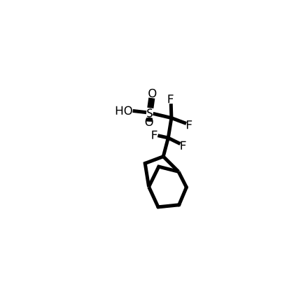 O=S(=O)(O)C(F)(F)C(F)(F)C1CC2CCCC1C2